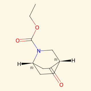 CCOC(=O)N1C[C@@H]2CC[C@H]1CC2=O